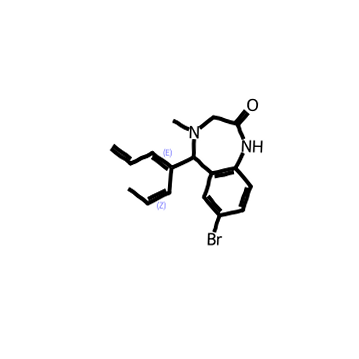 C=C/C=C(\C=C/C)C1c2cc(Br)ccc2NC(=O)CN1C